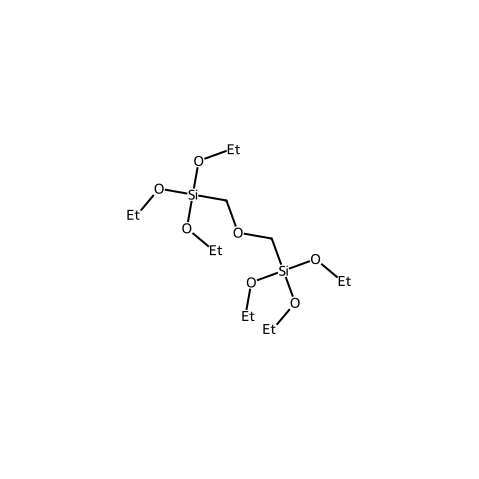 CCO[Si](COC[Si](OCC)(OCC)OCC)(OCC)OCC